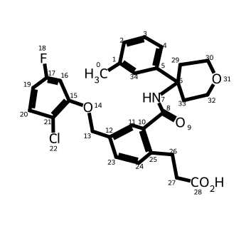 Cc1cccc(C2(NC(=O)c3cc(COc4cc(F)ccc4Cl)ccc3CCC(=O)O)CCOCC2)c1